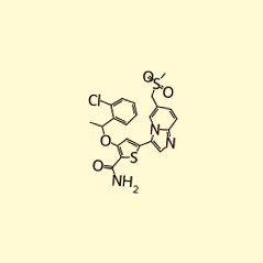 CC(Oc1cc(-c2cnc3ccc(CS(C)(=O)=O)cn23)sc1C(N)=O)c1ccccc1Cl